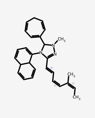 C\C=C(C)/C=C\C=C\C1=NN(C)C(C2=CC=CCC=C2)N1C1=CC=CC2C=CC=CC12